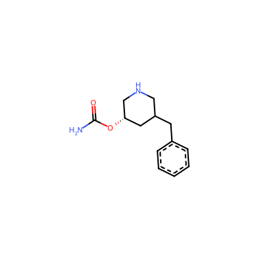 NC(=O)O[C@@H]1CNCC(Cc2ccccc2)C1